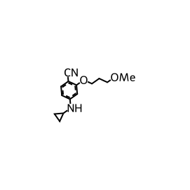 COCCCOc1cc(NC2CC2)ccc1C#N